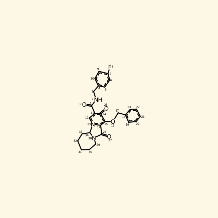 O=C(NCc1ccc(F)cc1)c1cn2c(c(OCc3ccccc3)c1=O)C(=O)N1CCCCCC12